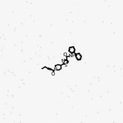 CCC#CC(=O)N1CCC(c2nc(C(=O)Nc3ccccc3-c3ccccc3)cs2)CC1